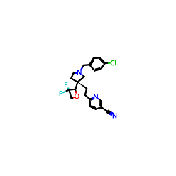 N#Cc1ccc(CC[C@@]2([C@H]3OCC3(F)F)CCN(Cc3ccc(Cl)cc3)C2)nc1